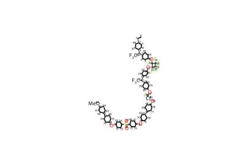 C=Cc1ccc(C(c2ccc(OC3(F)C(F)(F)C(F)(F)C3(F)Oc3ccc(C(c4ccc(O/[C](F)=[Cf]\[O]c5ccc(-c6ccc(Oc7ccc(S(=O)(=O)c8ccc(Oc9ccc(-c%10ccc(OC)cc%10)cc9)cc8)cc7)cc6)cc5)cc4)C(F)(F)F)cc3)cc2)C(F)(F)F)cc1